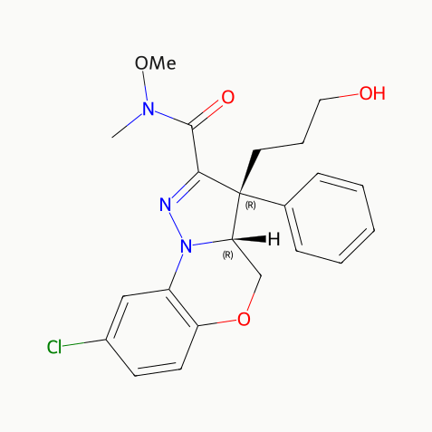 CON(C)C(=O)C1=NN2c3cc(Cl)ccc3OC[C@H]2[C@@]1(CCCO)c1ccccc1